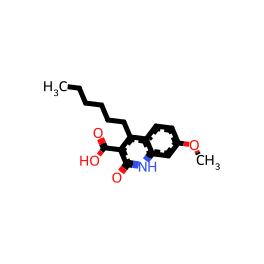 CCCCCCc1c(C(=O)O)c(=O)[nH]c2cc(OC)ccc12